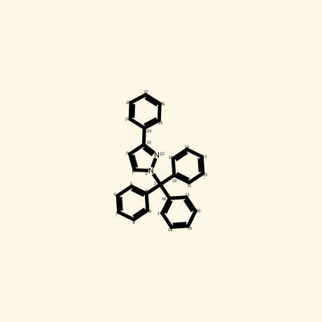 [c]1cn(C(c2ccccc2)(c2ccccc2)c2ccccc2)nc1-c1ccccc1